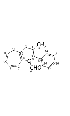 CC(CC1=C(OC=O)C=CC=CC1)Cc1ccccc1